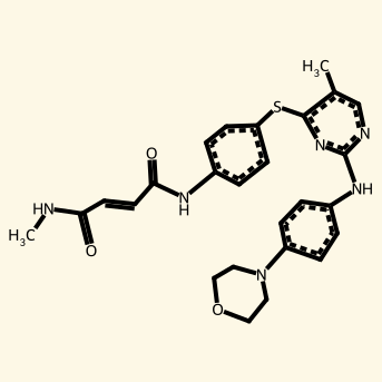 CNC(=O)C=CC(=O)Nc1ccc(Sc2nc(Nc3ccc(N4CCOCC4)cc3)ncc2C)cc1